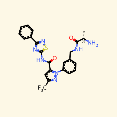 C[C@H](N)C(=O)NCc1cccc(-n2nc(C(F)(F)F)cc2C(=O)Nc2nc(-c3ccccc3)ns2)c1